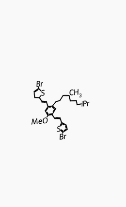 COc1cc(/C=C/C2CC=C(Br)S2)c(CCCC(C)CCCC(C)C)cc1/C=C/c1ccc(Br)s1